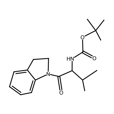 CC(C)C(NC(=O)OC(C)(C)C)C(=O)N1CCc2ccccc21